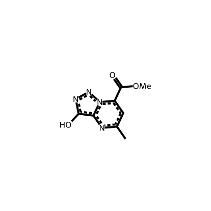 COC(=O)c1cc(C)nc2c(O)nnn12